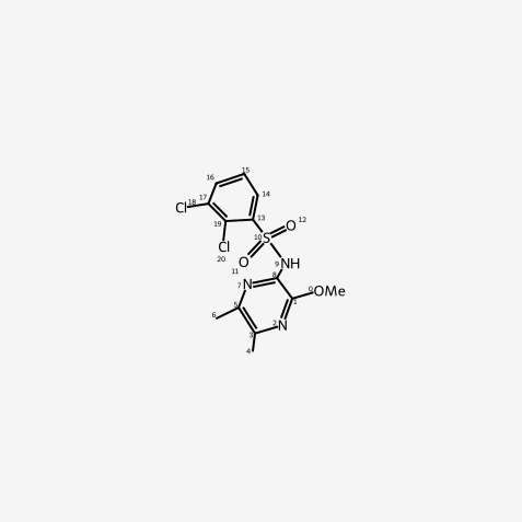 COc1nc(C)c(C)nc1NS(=O)(=O)c1cccc(Cl)c1Cl